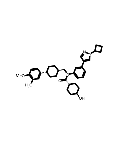 COc1ccc([C@H]2CC[C@H](CN(c3cccc(-c4cnn(C5CCC5)c4)c3)C(=O)[C@H]3CC[C@H](O)CC3)CC2)cc1C